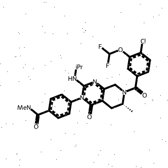 CNC(=O)c1ccc(-n2c(NC(C)C)nc3c(c2=O)C[C@@H](C)N(C(=O)c2ccc(Cl)c(OC(F)F)c2)C3)cc1